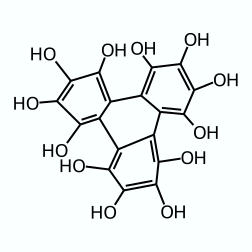 Oc1c(O)c(O)c2c(c1O)c1c(O)c(O)c(O)c(O)c1c1c(O)c(O)c(O)c(O)c21